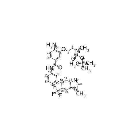 CN(CCOc1cc(C(=O)Nc2cccc(-c3cc4ncn(C)c4cc3C(F)(F)F)c2)ccc1N)C(=O)OC(C)(C)C